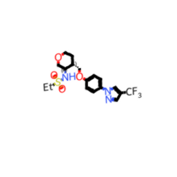 CCS(=O)(=O)N[C@H]1COCC[C@@H]1COc1ccc(-n2cc(C(F)(F)F)cn2)cc1